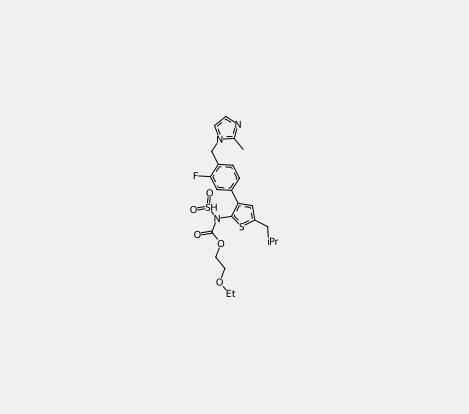 CCOCCOC(=O)N(c1sc(CC(C)C)cc1-c1ccc(Cn2ccnc2C)c(F)c1)[SH](=O)=O